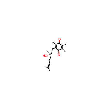 CC(C)=CCC[C@@](C)(O)CCC1=C(C)C(=O)C(C)=C(C)C1=O